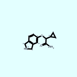 NC(=O)C(Oc1ccc2c(c1)CNC2)C1CC1